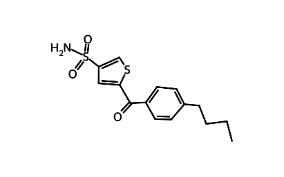 CCCCc1ccc(C(=O)c2cc(S(N)(=O)=O)cs2)cc1